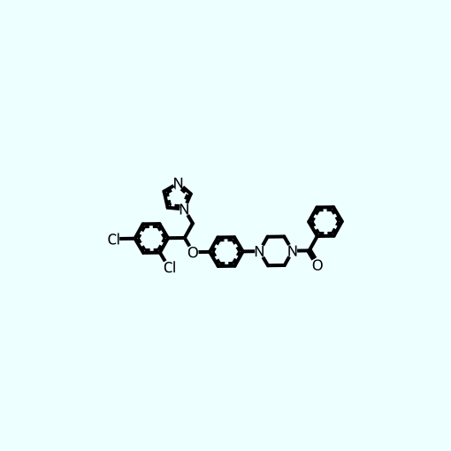 O=C(c1ccccc1)N1CCN(c2ccc(OC(Cn3ccnc3)c3ccc(Cl)cc3Cl)cc2)CC1